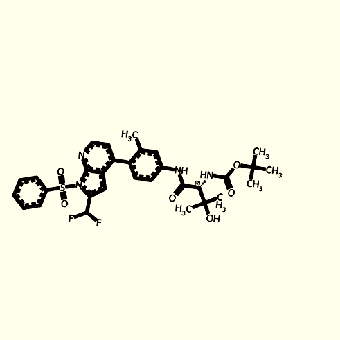 Cc1cc(NC(=O)[C@H](NC(=O)OC(C)(C)C)C(C)(C)O)ccc1-c1ccnc2c1cc(C(F)F)n2S(=O)(=O)c1ccccc1